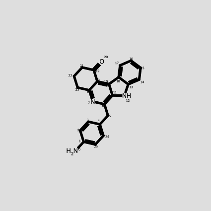 Nc1ccc(Cc2nc3c(c4c2[nH]c2ccccc24)C(=O)CCC3)cc1